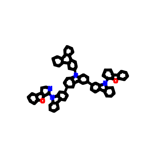 c1ccc2c(c1)oc1c(-n3c4ccccc4c4ccc(-c5ccc6c(c5)c5cc(-c7ccc8c9ccccc9n(-c9nccc%10c9oc9ccccc9%10)c8c7)ccc5n6-c5ccc6c7ccccc7c7ccccc7c6c5)cc43)cccc12